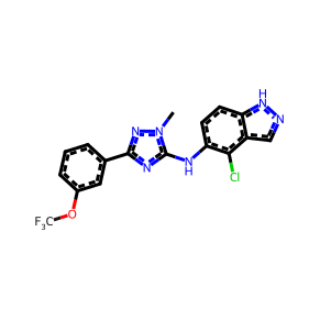 Cn1nc(-c2cccc(OC(F)(F)F)c2)nc1Nc1ccc2[nH]ncc2c1Cl